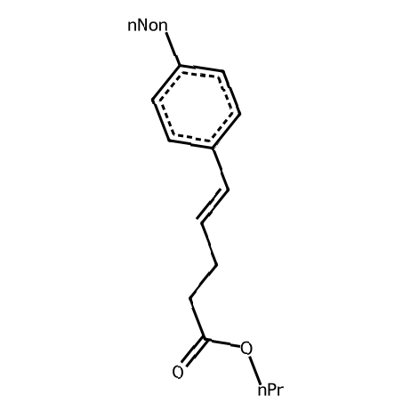 CCCCCCCCCc1ccc(C=CCCC(=O)OCCC)cc1